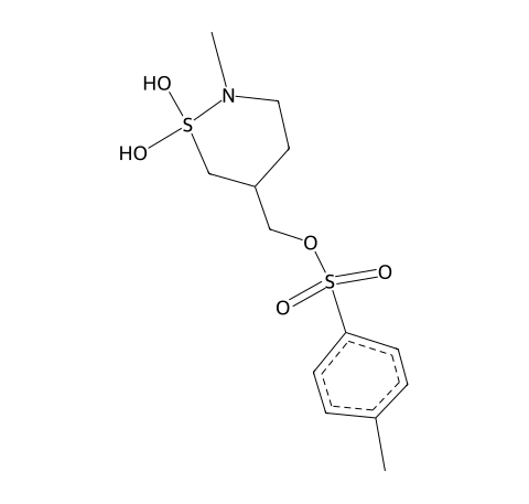 Cc1ccc(S(=O)(=O)OCC2CCN(C)S(O)(O)C2)cc1